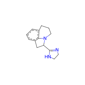 c1cc2c3c(c1)CC(C1=NCCN1)N3CCC2